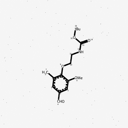 COc1cc(C=O)cc(C)c1OCCNC(=O)OC(C)(C)C